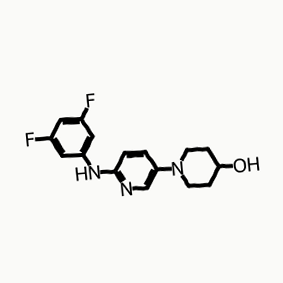 OC1CCN(c2ccc(Nc3cc(F)cc(F)c3)nc2)CC1